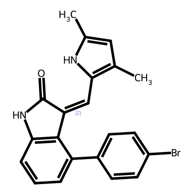 Cc1cc(C)c(/C=C2\C(=O)Nc3cccc(-c4ccc(Br)cc4)c32)[nH]1